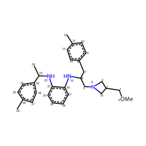 COCC1CN(CC(Cc2ccc(C)cc2)Nc2ccccc2NC(C)c2ccc(C)cc2)C1